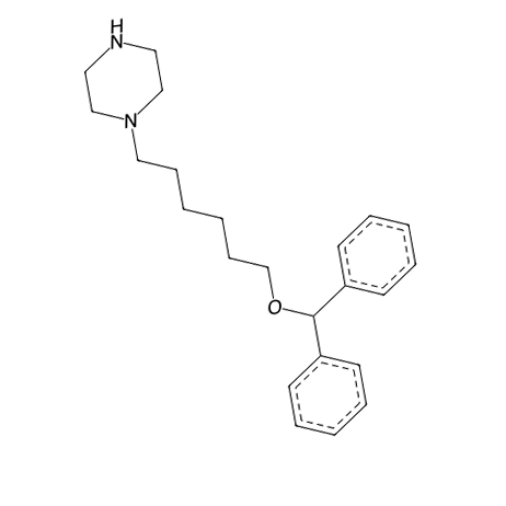 c1ccc(C(OCCCCCCN2CCNCC2)c2ccccc2)cc1